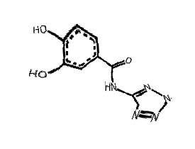 O=C(NC1=N[N]N=N1)c1ccc(O)c(O)c1